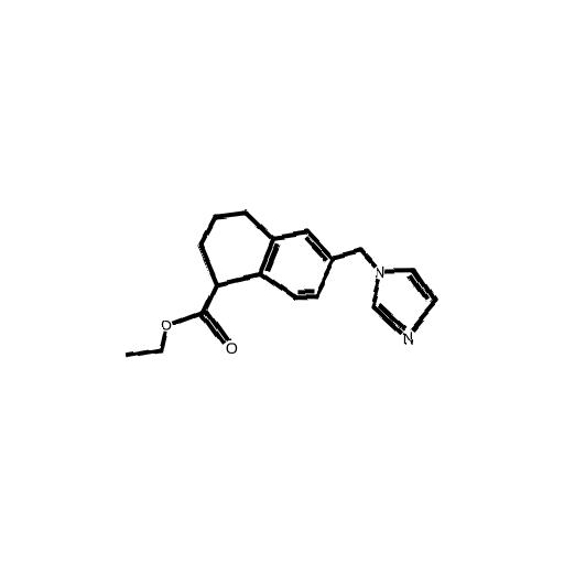 CCOC(=O)C1CCCc2cc(Cn3ccnc3)ccc21